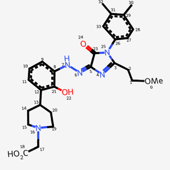 COCCC1=N/C(=N/Nc2cccc(C3CCN(CC(=O)O)CC3)c2O)C(=O)N1c1ccc(C)c(C)c1